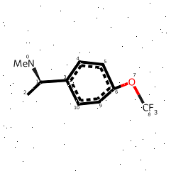 CN[C@H](C)c1ccc(OC(F)(F)F)cc1